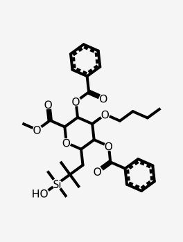 CCCCOC1C(OC(=O)c2ccccc2)C(CC(C)(C)[Si](C)(C)O)OC(C(=O)OC)C1OC(=O)c1ccccc1